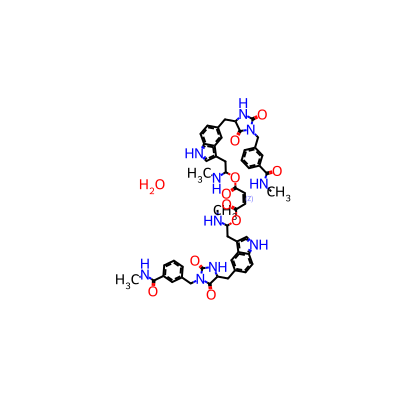 CNC(=O)c1cccc(CN2C(=O)NC(Cc3ccc4[nH]cc(CC(NC)OC(=O)/C=C\C(=O)OC(Cc5c[nH]c6ccc(CC7NC(=O)N(Cc8cccc(C(=O)NC)c8)C7=O)cc56)NC)c4c3)C2=O)c1.O